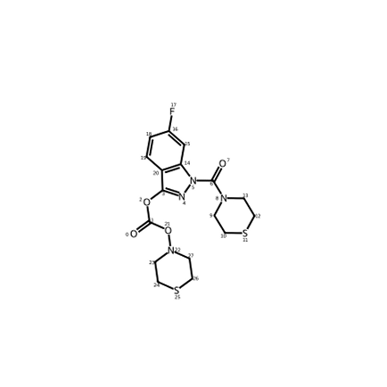 O=C(Oc1nn(C(=O)N2CCSCC2)c2cc(F)ccc12)ON1CCSCC1